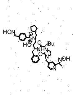 CC[C@H](C)[C@@H](C(=O)N[C@@H](Cc1ccccc1)[C@H](O)CN(CC1CCCC1)S(=O)(=O)c1ccc(C=NO)cc1)N1CCN(Cc2ccnc(C(C)=NO)c2)C1=O